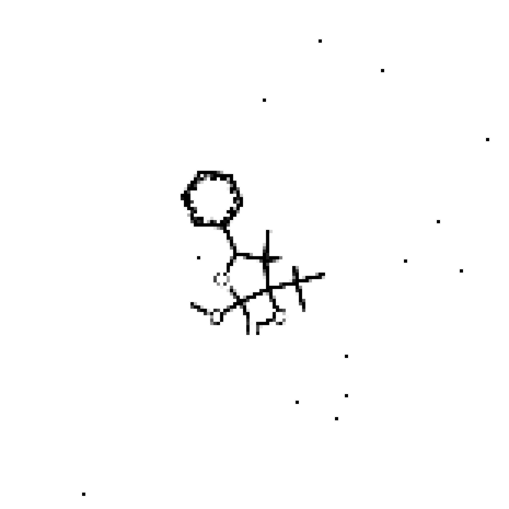 COC12OOC1(C(C)(C)C)C(C)(C)C(c1ccccc1)O2